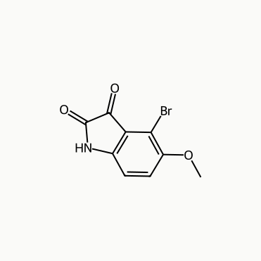 COc1ccc2c(c1Br)C(=O)C(=O)N2